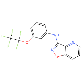 FC(F)(F)C(F)(F)Oc1cccc(Nc2noc3cccnc23)c1